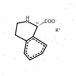 O=C([O-])[C@H]1NCCc2ccccc21.[K+]